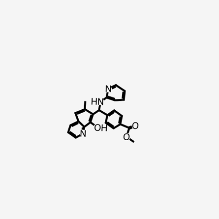 COC(=O)c1ccc(C(Nc2ccccn2)c2c(C)cc3cccnc3c2O)cc1